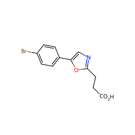 O=C(O)CCc1ncc(-c2ccc(Br)cc2)o1